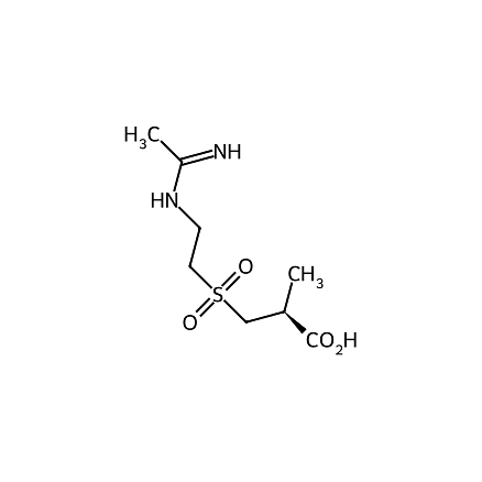 CC(=N)NCCS(=O)(=O)C[C@@H](C)C(=O)O